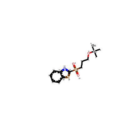 CC(C)(C)[Si](C)(C)OCCCS(=O)(=O)c1nc2ccccc2s1